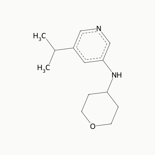 CC(C)c1cncc(NC2CCOCC2)c1